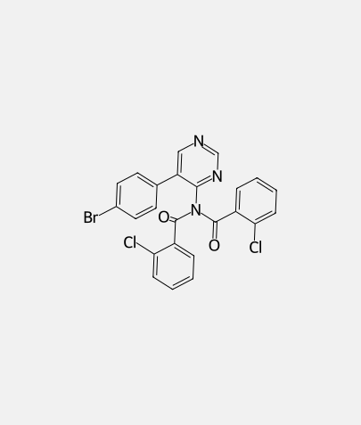 O=C(c1ccccc1Cl)N(C(=O)c1ccccc1Cl)c1ncncc1-c1ccc(Br)cc1